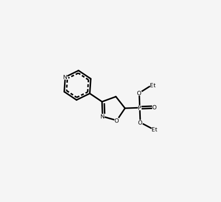 CCOP(=O)(OCC)C1CC(c2ccncc2)=NO1